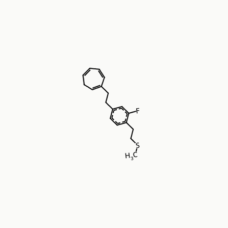 CSCCc1ccc(CCC2=CCC=CC=C2)cc1F